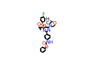 C[C@H]1COCCN1c1cc(C2(S(=O)(=O)c3ccc(F)cc3)CC2)nc(-c2ccc(NC(=O)Oc3ccccc3)cc2)n1